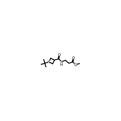 COC(=O)CCNC(=O)C1CN(C(C)(C)C)C1